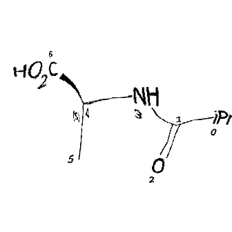 CC(C)C(=O)N[C@@H](C)C(=O)O